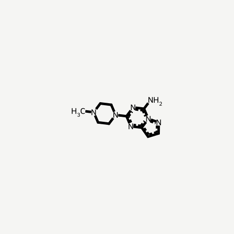 CN1CCN(c2nc(N)n3nccc3n2)CC1